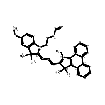 COc1ccc2c(c1)C(C)(C)/C(=C/C=C/C1=[N+](C)c3c(c4ccccc4c4ccccc34)C1(C)C)N2CCOC=O